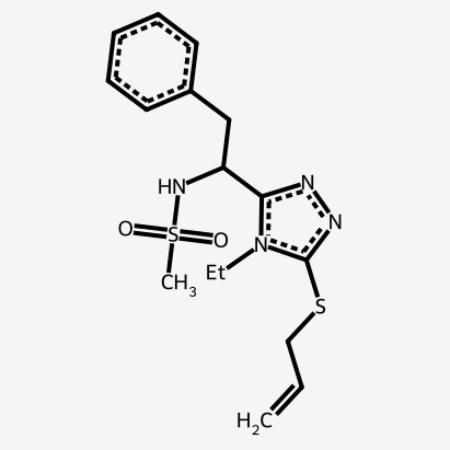 C=CCSc1nnc(C(Cc2ccccc2)NS(C)(=O)=O)n1CC